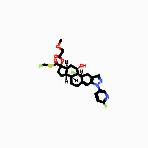 COCC(=O)O[C@]1(C(=O)SCF)CC[C@@H]2[C@@H]3CCC4=Cc5c(cnn5-c5ccc(F)nc5)C[C@@H]4[C@@]3(F)[C@@H](O)C[C@@H]21